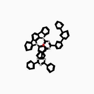 c1ccc(-c2cccc(-c3cccc(-c4nc(-c5ccccc5)nc(-n5c6ccccc6c6ccc7c8ccccc8n(-c8cccc(-c9nc(-c%10ccccc%10)nc(-c%10ccccc%10)n9)c8)c7c65)n4)c3)c2)cc1